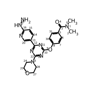 CN(C)C(=O)c1ccc(Oc2nc(-c3ccc(NN)nc3)nc(N3CCOCC3)n2)cc1